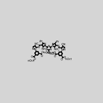 [C-]#[N+]c1cnn(-c2cc(C(=O)OCCCCCCCC)cc(C(=O)OCCCCCCCC)c2)c1N=Nc1c(C(C)C)nn(-c2nc(OCCCCCCCC)nc(-n3nc(C(C)C)c(N=Nc4c(C#N)cnn4-c4cc(C(=O)OCCCCCCCC)cc(C(=O)OCCCCCCCC)c4)c3N)n2)c1N